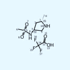 C[C@H]1C[C@H](NS(C)(=O)=O)CN1.O=C(O)C(F)(F)F